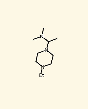 CCN1CCN(C(C)N(C)C)CC1